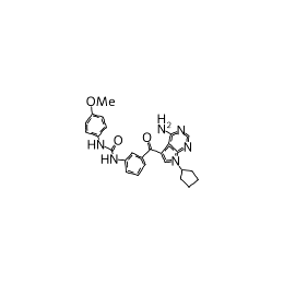 COc1ccc(NC(=O)Nc2cccc(C(=O)c3cn(C4CCCC4)c4ncnc(N)c34)c2)cc1